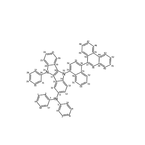 c1ccc(N(c2ccccc2)c2ccc3c(c2)c2c(c4ccccc4n2-c2ccccc2)n3-c2ccc(-c3cc4ccccc4c4ccccc34)c3ccccc23)cc1